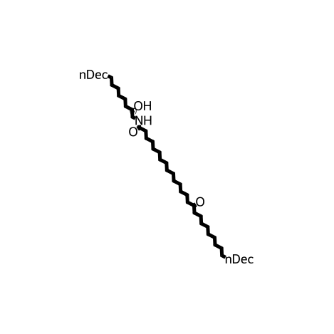 CCCCCCCCCCCCCCCCCCCC(=O)CCCCCCCCCCCCCCC(=O)NC[C@@H](O)CCCCCCCCCCCCCCCC